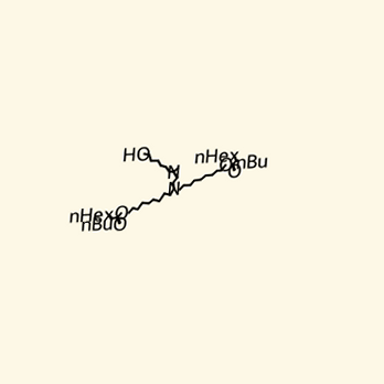 CCCCCCC(CCCC)C(=O)OCCCCCCCCCN(CCCCCCCCCOC(=O)C(CCCC)CCCCCC)CCN(C)CCCCCCO